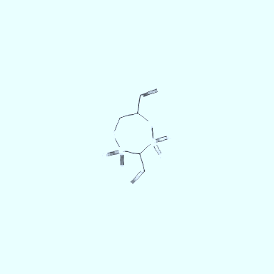 C=CC1COS(=O)(=O)C(C=C)S(=O)(=O)O1